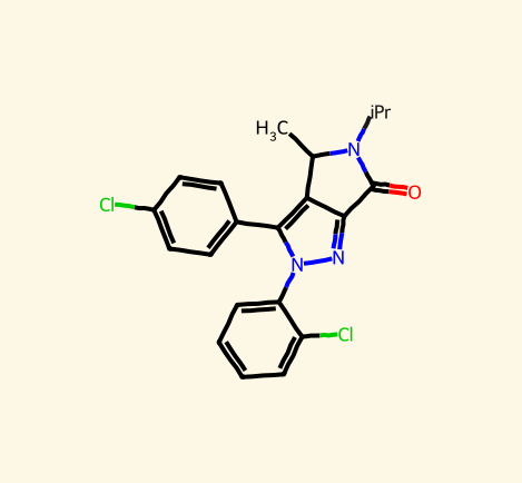 CC(C)N1C(=O)c2nn(-c3ccccc3Cl)c(-c3ccc(Cl)cc3)c2C1C